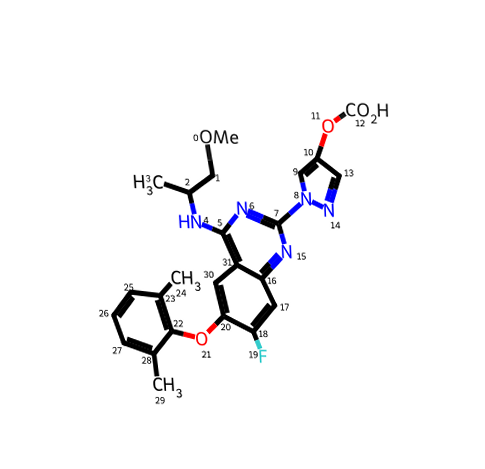 COCC(C)Nc1nc(-n2cc(OC(=O)O)cn2)nc2cc(F)c(Oc3c(C)cccc3C)cc12